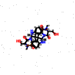 CN1C(=O)[C@@]23C[C@]4([C@]56C[C@@]78SS[C@@](CO)(C(=O)N7[C@H]5Nc5ccccc56)N(C)C8=O)c5ccccc5N[C@@H]4N2C(=O)C1(CO)SS3